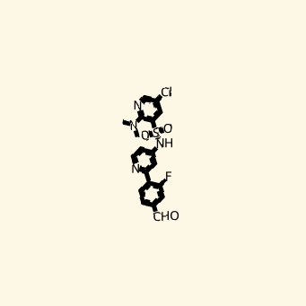 CN(C)c1ncc(Cl)cc1S(=O)(=O)Nc1ccnc(-c2ccc(C=O)cc2F)c1